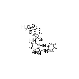 CS(=O)(=O)c1cccc(C(=O)Nc2ccc3[nH]nc(-c4nc5ccccc5[nH]4)c3c2)c1